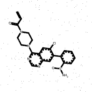 C=CC(=O)N1CCN(c2ncnc3cc(-c4ccccc4[S+](N)[O-])c(Cl)cc23)CC1